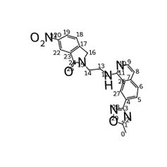 Cc1nc(-c2ccc3ccnc(NCCN4Cc5ccc([N+](=O)[O-])cc5C4=O)c3c2)no1